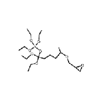 CCOC(CCCC(C)OCC1CO1)(OCC)O[Si](OCC)(OCC)OCC